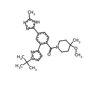 COC1(C)CCN(C(=O)c2ccc(-c3nnc(C)[nH]3)cc2-c2ccn(C(C)(C)C)n2)CC1